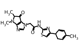 CC1=CCC(c2csc(NC(=O)Cn3cnc4c3C(=O)C(C)N4C)n2)C=C1